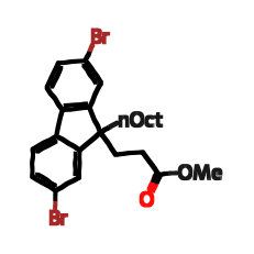 CCCCCCCCC1(CCC(=O)OC)c2cc(Br)ccc2-c2ccc(Br)cc21